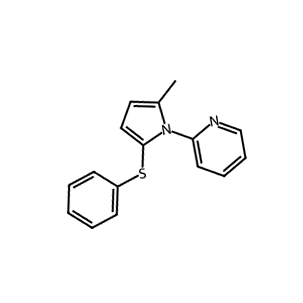 Cc1ccc(Sc2ccccc2)n1-c1ccccn1